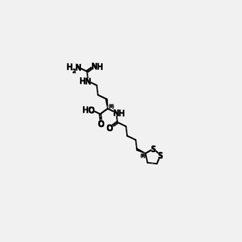 N=C(N)NCCC[C@@H](NC(=O)CCCC[C@@H]1CCSS1)C(=O)O